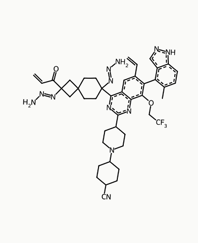 C=CC(=O)C1(N=NN)CC2(CCC(N=NN)(c3nc(C4CCN(C5CCC(C#N)CC5)CC4)nc4c(OCC(F)(F)F)c(-c5c(C)ccc6[nH]ncc56)c(C=C)cc34)CC2)C1